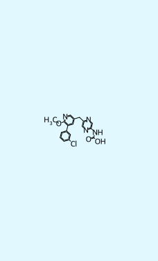 COc1ncc(Cc2cnc(NC(=O)O)cn2)cc1-c1cccc(Cl)c1